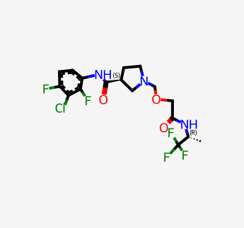 C[C@@H](NC(=O)COCN1CC[C@H](C(=O)Nc2ccc(F)c(Cl)c2F)C1)C(F)(F)F